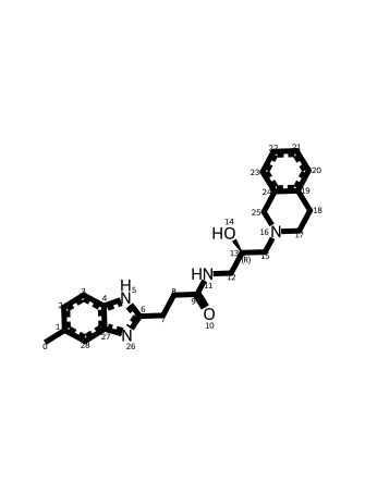 Cc1ccc2[nH]c(CCC(=O)NC[C@@H](O)CN3CCc4ccccc4C3)nc2c1